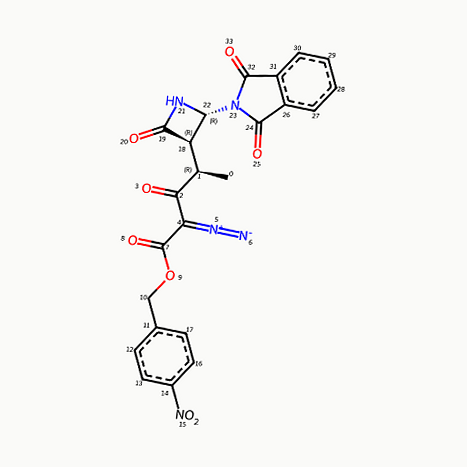 C[C@@H](C(=O)C(=[N+]=[N-])C(=O)OCc1ccc([N+](=O)[O-])cc1)[C@H]1C(=O)N[C@@H]1N1C(=O)c2ccccc2C1=O